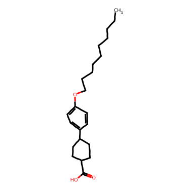 CCCCCCCCCCOc1ccc(C2CCC(C(=O)O)CC2)cc1